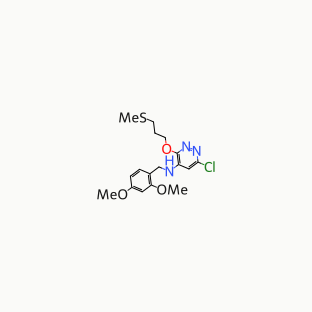 COc1ccc(CNc2cc(Cl)nnc2OCCCSC)c(OC)c1